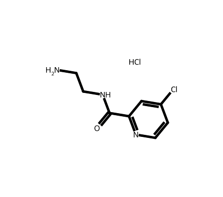 Cl.NCCNC(=O)c1cc(Cl)ccn1